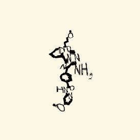 COCC=CC(=O)N1CCCC1c1nc(-c2ccc(C(=O)Nc3cc(OC)ccn3)cc2)c2c(N)nccn12